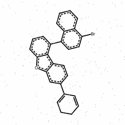 Brc1ccc(-c2cccc3oc4cc(C5=CCCC=C5)ccc4c23)c2ccccc12